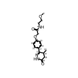 COCCNC(=O)COc1ccc(C2=NNC(=O)CC2C)cc1